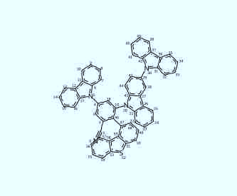 N#Cc1cc(-n2c3ccccc3c3ccccc32)cc(-n2c3ccccc3c3cc(-n4c5ccccc5c5ccccc54)ccc32)c1-c1cccc2sc3ccccc3c12